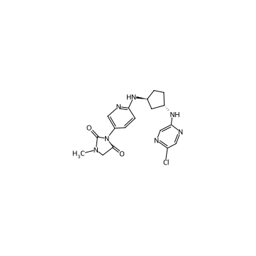 CN1CC(=O)N(c2ccc(N[C@H]3CC[C@H](Nc4cnc(Cl)cn4)C3)nc2)C1=O